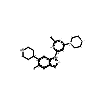 Cc1nc(N2CCOCC2)cc(-n2ncc3cc(C)c(C4CCNCC4)cc32)n1